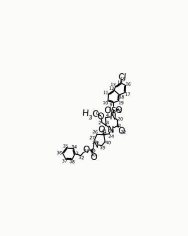 COCC12CN(S(=O)(=O)c3ccc4cc(Cl)ccc4c3)CC(=O)N1CC1(CCN(C(=O)OCc3ccccc3)CC1)O2